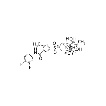 C[C@H](O)[C@@H](O)[C@@]1(O)[C@H]2C[C@@H](S(=O)(=O)c3cc(C(=O)Nc4ccc(F)c(F)c4)n(C)c3)C[C@@H]1[C@@H](C)C2